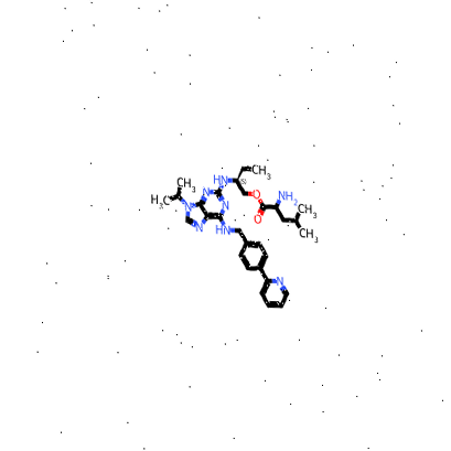 CC[C@@H](COC(=O)C(N)CC(C)C)Nc1nc(NCc2ccc(-c3ccccn3)cc2)c2ncn(C(C)C)c2n1